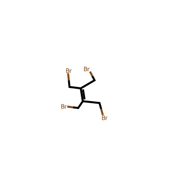 BrCC(CBr)=C(CBr)CBr